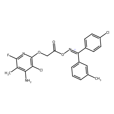 Cc1cccc(/C(=N\OC(=O)COc2nc(F)c(C)c(N)c2Cl)c2ccc(Cl)cc2)c1